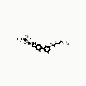 CCCCCOc1cccc(-c2ccc(CNC(=O)OC(C)(C)C)cc2)c1